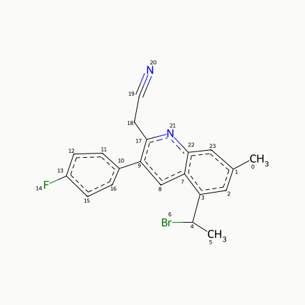 Cc1cc(C(C)Br)c2cc(-c3ccc(F)cc3)c(CC#N)nc2c1